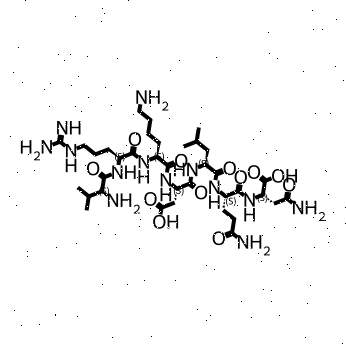 CC(C)C[C@H](NC(=O)[C@H](CC(=O)O)NC(=O)[C@H](CCCCN)NC(=O)[C@H](CCCNC(=N)N)NC(=O)[C@@H](N)C(C)C)C(=O)N[C@@H](CCC(N)=O)C(=O)N[C@@H](CC(N)=O)C(=O)O